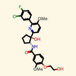 COc1cc(C(=O)N[C@@H]2CCC[C@]2(O)c2ccc(OC)c(-c3ccc(F)c(Cl)c3)n2)ccc1OCCO